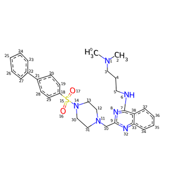 CN(C)CCCNc1nc(CN2CCN(S(=O)(=O)c3ccc(-c4ccccc4)cc3)CC2)nc2ccccc12